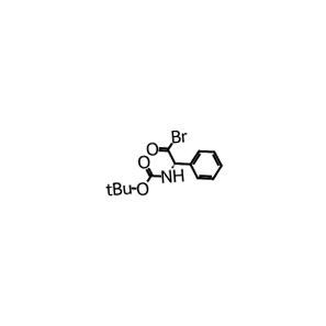 CC(C)(C)OC(=O)N[C@H](C(=O)Br)c1ccccc1